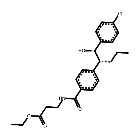 CCC[C@H](c1ccc(C(=O)NCCC(=O)OCC)cc1)[C@@H](O)c1ccc(Cl)cc1